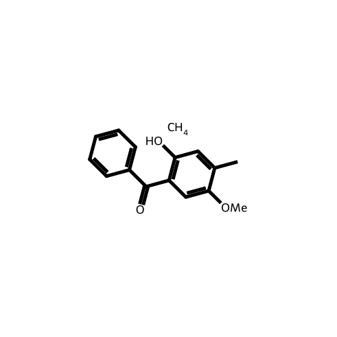 C.COc1cc(C(=O)c2ccccc2)c(O)cc1C